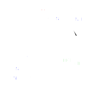 C[C@H]1CN(C(=O)c2ccc(/C=C/c3n[nH]c4ccccc34)cc2)C[C@H](C)N1.Cl.Cl